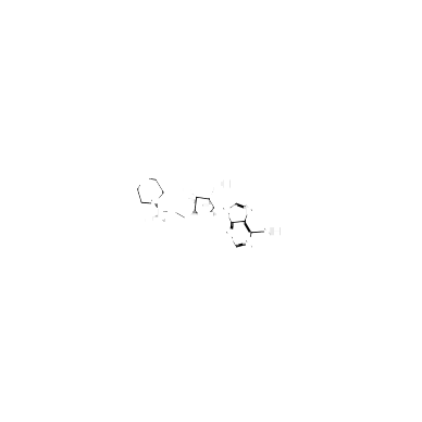 Nc1ncnc2c1ncn2[C@@H]1O[C@H](COP(=O)(O)N2CCOCC2)[C@@H](O)[C@H]1O